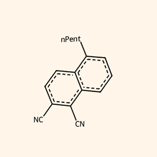 CCCCCc1cccc2c(C#N)c(C#N)ccc12